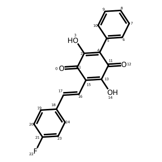 O=C1C(O)=C(c2ccccc2)C(=O)C(O)=C1C=Cc1ccc(F)cc1